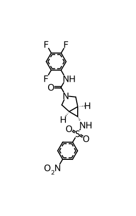 O=C(Nc1cc(F)c(F)cc1F)N1C[C@@H]2[C@H](C1)[C@H]2NS(=O)(=O)c1ccc([N+](=O)[O-])cc1